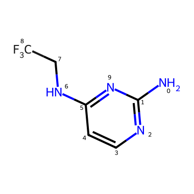 Nc1nccc(NCC(F)(F)F)n1